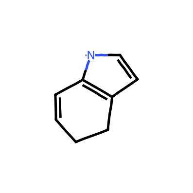 C1=CC2=C(C=C[N]2)CC1